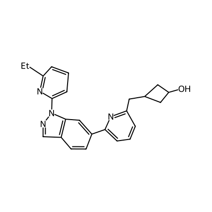 CCc1cccc(-n2ncc3ccc(-c4cccc(CC5CC(O)C5)n4)cc32)n1